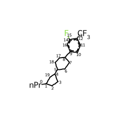 CCCC1CCC(C2CCC(c3ccc(C(F)(F)F)c(F)c3)CC2)C1